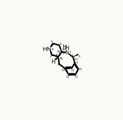 C[C@@H]1N[C@@H]2CCNC[C@H]2Cc2cccc1c2